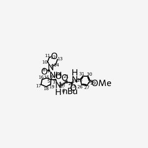 CCCC[C@H](NC(=O)C1(NC(=O)N2CCOCC2)CCCCC1)C(=O)C(=O)Nc1ccc(OC)cc1